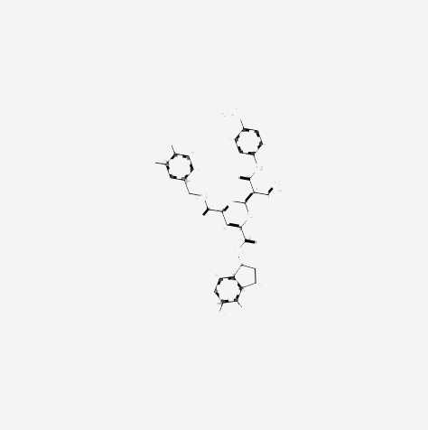 COc1ccc(NC(=O)/C(C=N)=C2\N=C(C(=O)NCc3ccc(F)c(F)c3)C=C(C(=O)N[C@H]3CCc4c3ccc(C(=O)O)c4C)N2)cc1